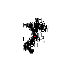 Cc1c(-c2ccc(N3CCc4cccc(C(=O)Nc5nc6ccccc6s5)c4C3)nc2C(=O)O)cnn1CC12CC3(C)CC(C)(C1)CC(OCCN(CCC(=O)NC(CO)(CO)CO)C(=O)OCc1ccc(CCCCN)cc1O[C@H]1O[C@@H](C(=O)O)C(O)[C@@H](O)[C@@H]1O)(C3)C2